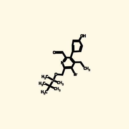 CCc1c(Br)c(CO[Si](C)(C)C(C)(C)C)nc(C=O)c1-c1ccc(O)cc1